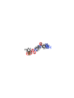 Cc1ccc(COC(=O)N2CCC3(CC2)CN(C(=O)c2ccc4[nH]nnc4c2)C3)c(S(C)(=O)=O)c1